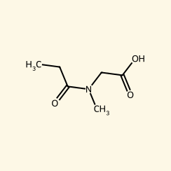 CCC(=O)N(C)CC(=O)O